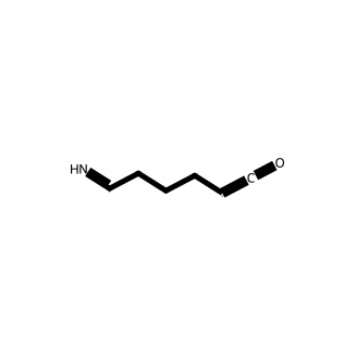 N=[C]CCC[C]=C=O